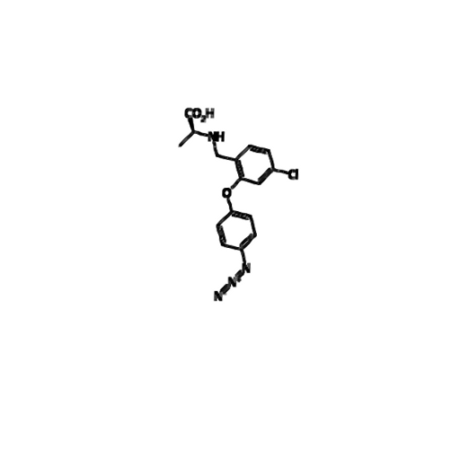 C[C@H](NCc1ccc(Cl)cc1Oc1ccc(N=[N+]=[N-])cc1)C(=O)O